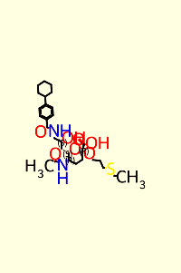 CCSCCCO[C@]1(C(=O)O)CC[C@@H](NC(C)=O)[C@H](C[C@H](O)CNC(=O)c2ccc(C3CCCCC3)cc2)O1